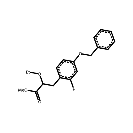 CCOC(Cc1ccc(OCc2ccccc2)cc1F)C(=O)OC